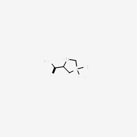 C[Si]1(C)CNC(C(=O)O)C1